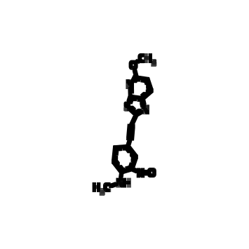 CNc1ccc(C#Cc2nc3ccc(OC)nc3s2)cc1N=O